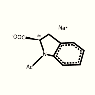 CC(=O)N1c2ccccc2C[C@@H]1C(=O)[O-].[Na+]